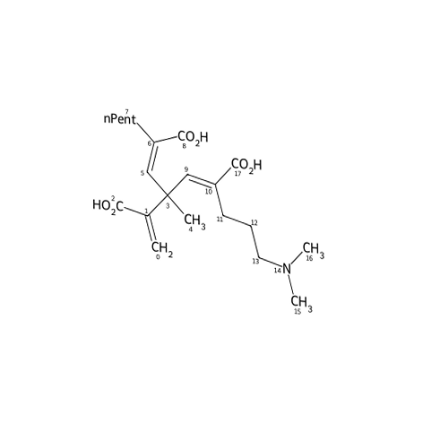 C=C(C(=O)O)C(C)(C=C(CCCCC)C(=O)O)C=C(CCCN(C)C)C(=O)O